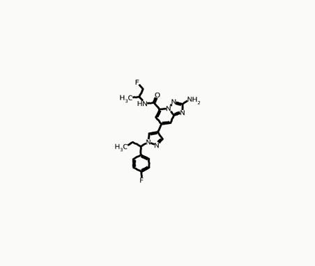 CCC(c1ccc(F)cc1)n1cc(-c2cc(C(=O)NC(C)CF)n3nc(N)nc3c2)cn1